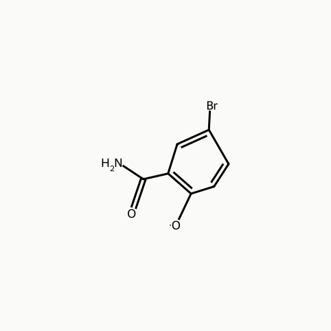 NC(=O)c1cc(Br)ccc1[O]